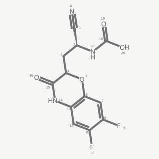 N#C[C@H](CC1Oc2cc(F)c(F)cc2NC1=O)NC(=O)O